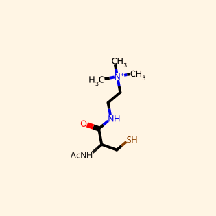 CC(=O)NC(CS)C(=O)NCC[N+](C)(C)C